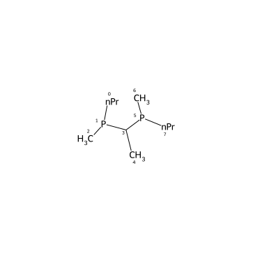 CCCP(C)C(C)P(C)CCC